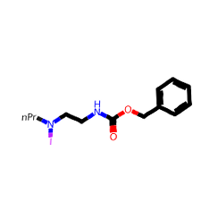 CCCN(I)CCNC(=O)OCc1ccccc1